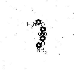 Nc1cccc(Oc2ccc(S(=O)(=O)c3ccc(Oc4cccc(N)c4)cc3)cc2)c1